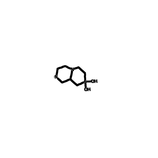 OS1(O)CCN2CC[N]CC2C1